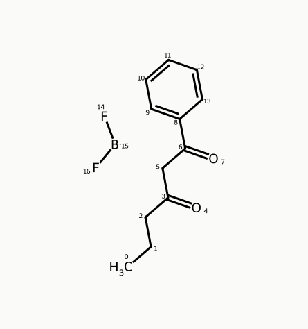 CCCC(=O)CC(=O)c1ccccc1.F[B]F